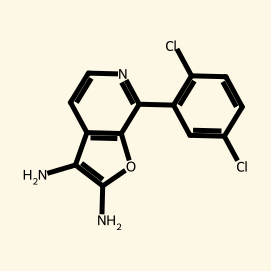 Nc1oc2c(-c3cc(Cl)ccc3Cl)nccc2c1N